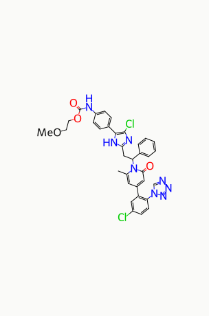 COCCOC(=O)Nc1ccc(-c2[nH]c(CC(c3ccccc3)n3c(C)cc(-c4cc(Cl)ccc4-n4cnnn4)cc3=O)nc2Cl)cc1